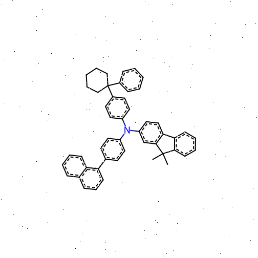 CC1(C)c2ccccc2-c2ccc(N(c3ccc(-c4cccc5ccccc45)cc3)c3ccc(C4(c5ccccc5)CCCCC4)cc3)cc21